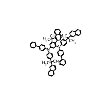 CC(C)(c1ccc(N(c2ccc(-c3ccccc3)cc2)c2cc(N(c3ccc(-c4ccccc4)cc3)c3ccc(C(C)(C)c4ccc5ccccc5c4)cc3)c3c(c2)C(C)(C)c2c-3ccc3ccccc23)cc1)c1ccc2ccccc2c1